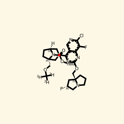 [2H]C([2H])([2H])OC[C@@]12CC[C@@H](CN(c3nc(OC[C@@]45CCCN4C[C@H](F)C5)nc4c(F)c(Cl)ncc34)C1)N2C(=O)OCCCC